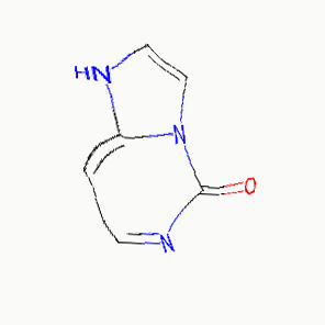 O=c1nccc2[nH]ccn12